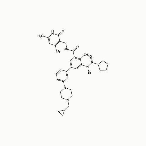 CCCc1cc(C)[nH]c(=O)c1CNC(=O)c1cc(-c2ccnc(N3CCN(CC4CC4)CC3)c2)cc(N(CC)C(=O)C2CCCC2)c1C